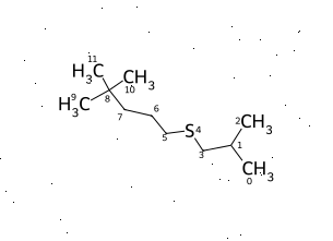 CC(C)CSCCCC(C)(C)C